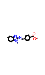 COC(=O)c1ccc(C=Nc2nc3ccccc3n2C)cc1